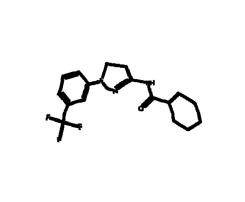 O=C(NC1=NN(c2cccc(C(F)(F)F)c2)CC1)C1CCCCC1